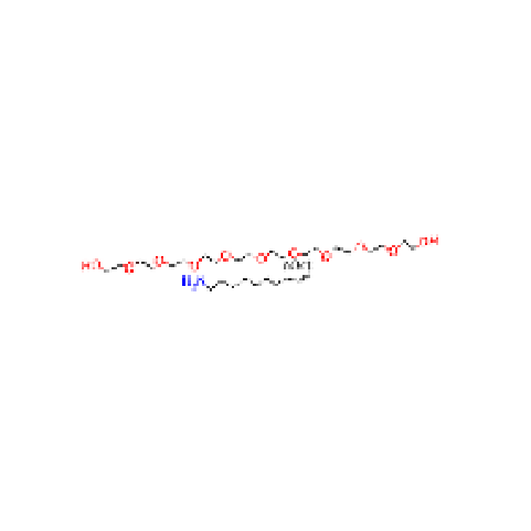 CCCCCCCC/C=C\CCCCCCCCN.OCCOCCOCCOCCOCCOCCOCCOCCOCCOCCO